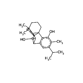 Cc1c(C(C)C)cc2c(c1O)C13CCCC(C)(C)C1C(O)C2OC3=O